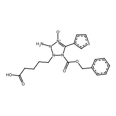 NN1N(CCCCC(=O)O)N(C(=O)OCc2ccccc2)C(c2ccsc2)=[N+]1[O-]